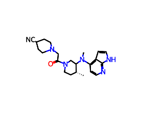 C[C@@H]1CCN(C(=O)CN2CCC(C#N)CC2)CC1N(C)c1ccnc2[nH]ccc12